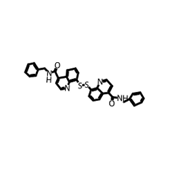 O=C(NCc1ccccc1)c1ccnc2c(SSc3cccc4c(C(=O)NCc5ccccc5)ccnc34)cccc12